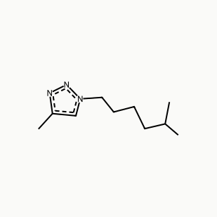 Cc1cn(CCCCC(C)C)nn1